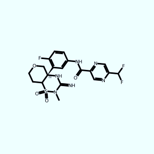 CN1C(=N)N[C@@]2(c3cc(NC(=O)c4cnc(C(F)F)cn4)ccc3F)COCCC2S1(=O)=O